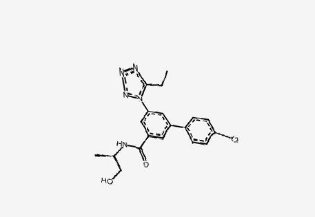 CCc1nnnn1-c1cc(C(=O)N[C@H](C)CO)cc(-c2ccc(Cl)cc2)c1